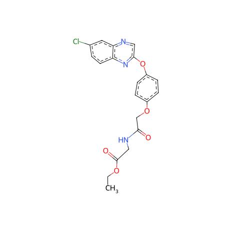 CCOC(=O)CNC(=O)COc1ccc(Oc2cnc3cc(Cl)ccc3n2)cc1